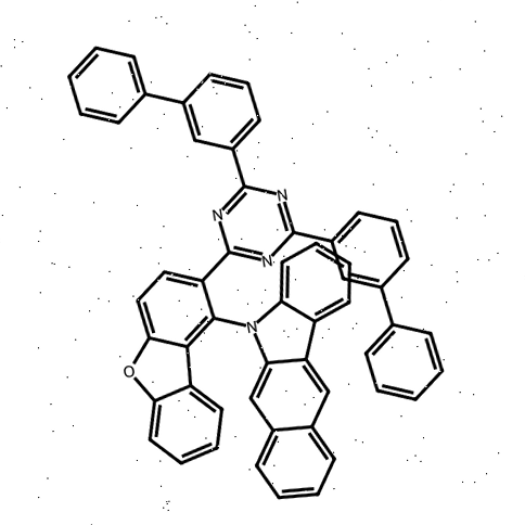 c1ccc(-c2cccc(-c3nc(-c4cccc(-c5ccccc5)c4)nc(-c4ccc5oc6ccccc6c5c4-n4c5ccccc5c5cc6ccccc6cc54)n3)c2)cc1